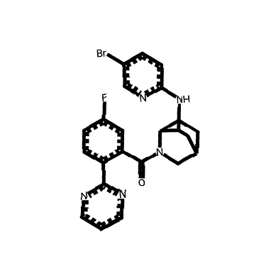 O=C(c1cc(F)ccc1-c1ncccn1)N1CC2CCC1C(Nc1ccc(Br)cn1)C2